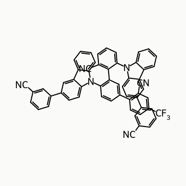 N#Cc1cccc(-c2ccc3c(c2)c2ccccc2n3-c2ccc(-c3ccc(C(F)(F)F)cc3C#N)cc2-c2c(C#N)cccc2-n2c3ccccc3c3cc(-c4cccc(C#N)c4)ccc32)c1